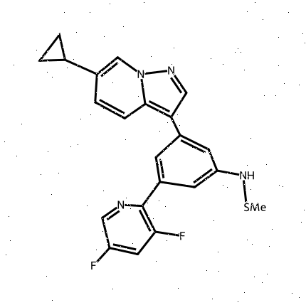 CSNc1cc(-c2ncc(F)cc2F)cc(-c2cnn3cc(C4CC4)ccc23)c1